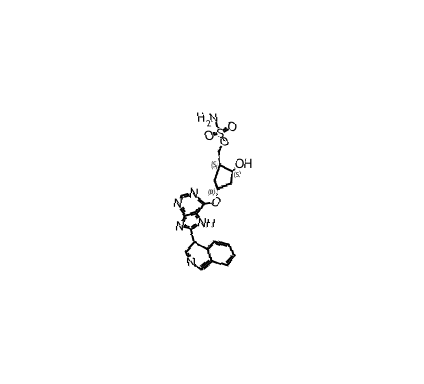 NS(=O)(=O)OC[C@@H]1C[C@@H](Oc2ncnc3nc(C4C=NC=C5C=CC=CC54)[nH]c23)C[C@@H]1O